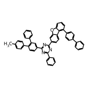 Cc1ccc(-c2ccc(-c3nc(-c4ccccc4)nc(-c4ccc5c(c4)oc4cccc(-c6ccc(-c7ccccc7)cc6)c45)n3)cc2-c2ccccc2)cc1